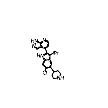 CC(C)c1c(-c2ccnc3[nH]ncc23)[nH]c2cc(Cl)c(C3CCNCC3)cc12